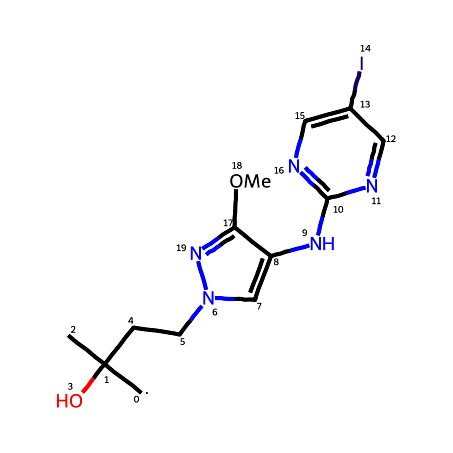 [CH2]C(C)(O)CCn1cc(Nc2ncc(I)cn2)c(OC)n1